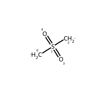 [CH2]S([CH2])(=O)=O